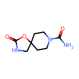 NC(=O)N1CCC2(CC1)CNC(=O)O2